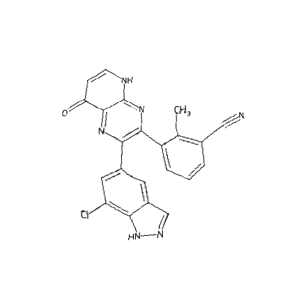 Cc1c(C#N)cccc1-c1nc2[nH]ccc(=O)c2nc1-c1cc(Cl)c2[nH]ncc2c1